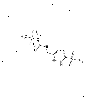 CC(C)(C)OC(=O)NCC1=CN=C(S(C)(=O)=O)NN1